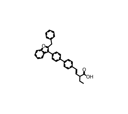 CCC(C=Cc1ccc(-c2ccc(-c3c(Cc4ccccc4)oc4ccccc34)cc2)cc1)C(=O)O